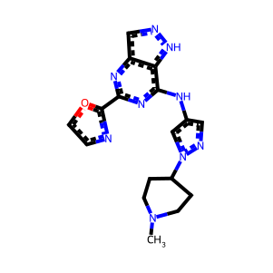 CN1CCC(n2cc(Nc3nc(-c4ncco4)nc4cn[nH]c34)cn2)CC1